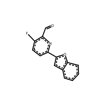 O=Cc1nc(-c2cc3ccccc3o2)ccc1F